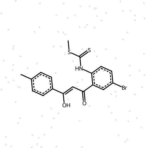 CSC(=S)Nc1ccc(Br)cc1C(=O)/C=C(\O)c1ccc(C)cc1